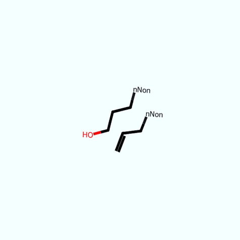 C=CCCCCCCCCCC.CCCCCCCCCCCCO